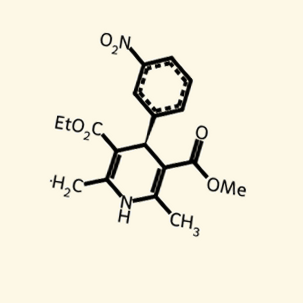 [CH2]C1=C(C(=O)OCC)[C@@H](c2cccc([N+](=O)[O-])c2)C(C(=O)OC)=C(C)N1